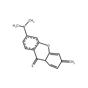 C=C1C=CC2C(=S)c3ccc(N(C)C)cc3OC2=C1